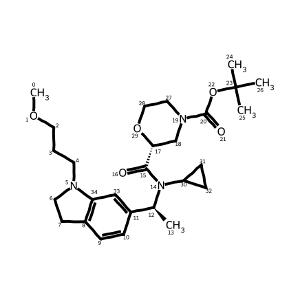 COCCCN1CCc2ccc([C@H](C)N(C(=O)[C@H]3CN(C(=O)OC(C)(C)C)CCO3)C3CC3)cc21